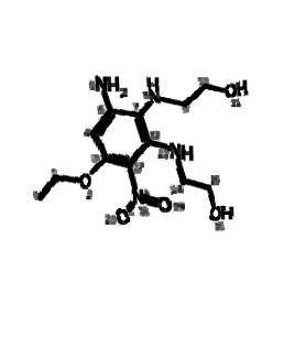 CCOc1cc(N)c(NCCO)c(NCCO)c1[N+](=O)[O-]